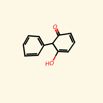 O=C1C=CC=C(O)C1c1ccccc1